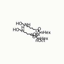 CCCCCCCCC(CCCCCC)C(=O)OCCCCCCNCCO.CCCCCCCCC(CCCCCC)C(=O)OCCCCCCNCCO